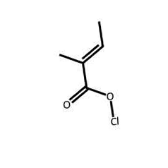 C/C=C(\C)C(=O)OCl